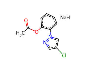 CC(=O)Oc1ccccc1-n1cc(Cl)cn1.[NaH]